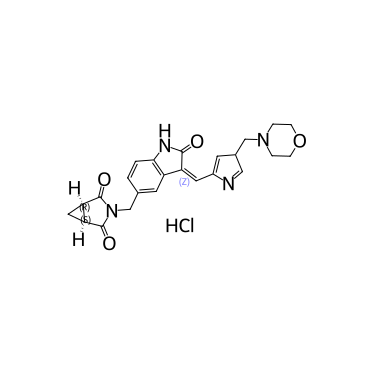 Cl.O=C1Nc2ccc(CN3C(=O)[C@H]4C[C@H]4C3=O)cc2/C1=C/C1=CC(CN2CCOCC2)C=N1